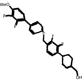 COc1ccc(-c2ccc(OCc3ccc(C4CCC(CO)CC4)c(F)c3F)cc2)c(F)c1F